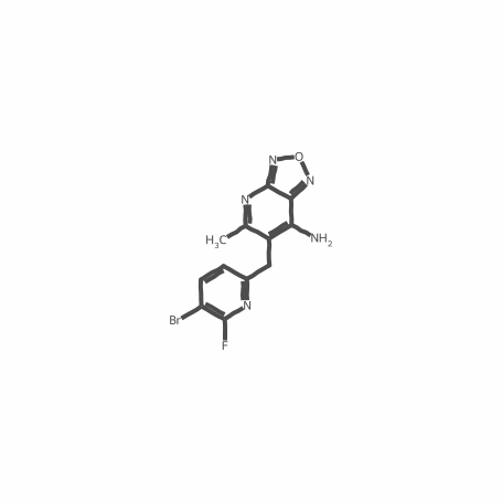 Cc1nc2nonc2c(N)c1Cc1ccc(Br)c(F)n1